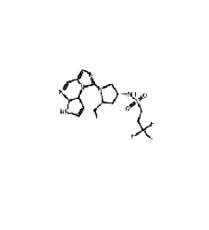 CC[C@@H]1C[C@H](NS(=O)(=O)CCC(F)(F)F)CN1c1ncc2n1C1C=CNC1N=C2